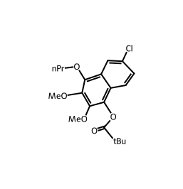 CCCOc1c(OC)c(OC)c(OC(=O)C(C)(C)C)c2ccc(Cl)cc12